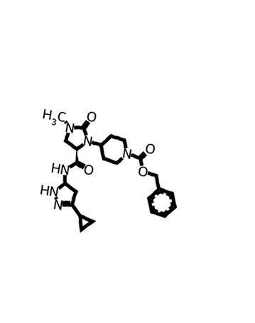 CN1C[C@H](C(=O)NC2CC(C3CC3)=NN2)N(C2CCN(C(=O)OCc3ccccc3)CC2)C1=O